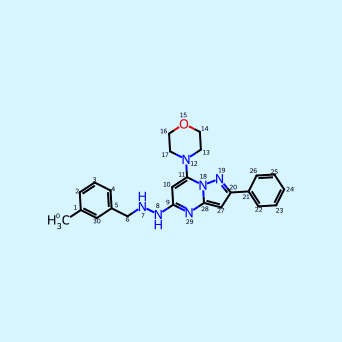 Cc1cccc(CNNc2cc(N3CCOCC3)n3nc(-c4ccccc4)cc3n2)c1